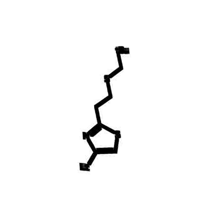 CCc1csc(CCSCC(C)(C)C)n1